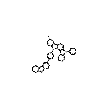 Cc1ccc2c(c1)c1ccc3c(c4ccccc4n3-c3ccccc3)c1n2-c1ccc(-c2ccc3oc4ccccc4c3c2)cc1